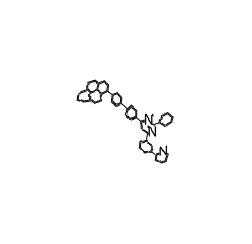 c1ccc(-c2nc(-c3ccc(-c4ccc(-c5ccc6ccc7cccc8ccc5c6c78)cc4)cc3)cc(-c3cccc(-c4ccccn4)c3)n2)cc1